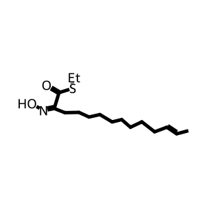 C/C=C/CCCCCCCCC/C(=N/O)C(=O)SCC